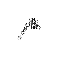 N#C[C@H](Cc1ccc(N2CC3(C2)CN(C2COC2)C3)cc1F)NC(=O)[C@H]1NC2CCC1C2